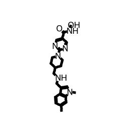 Cc1ccc2c(CNCC3CCN(c4ncc(C(=O)NO)cn4)CC3)cn(C)c2c1